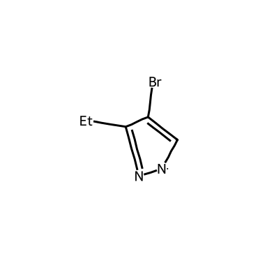 CCC1=N[N]C=C1Br